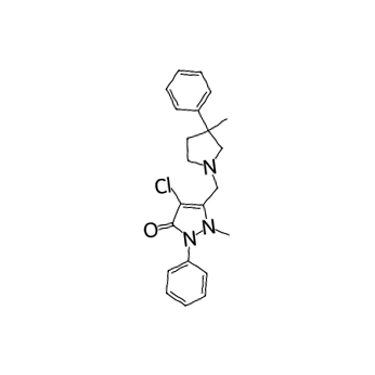 Cn1c(CN2CCC(C)(c3ccccc3)C2)c(Cl)c(=O)n1-c1ccccc1